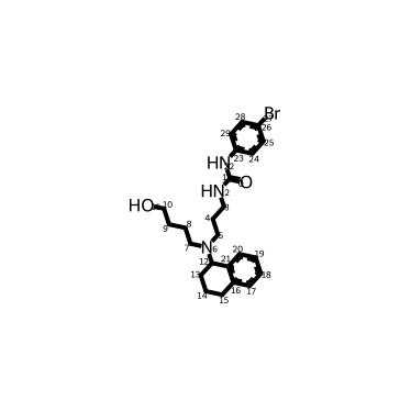 O=C(NCCCN(CCCCO)C1CCCc2ccccc21)Nc1ccc(Br)cc1